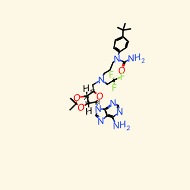 CC1(C)O[C@@H]2[C@H](O1)[C@@H](CN(CCCN(C(N)=O)c1ccc(C(C)(C)C)cc1)CC(F)(F)F)O[C@H]2n1cnc2c(N)ncnc21